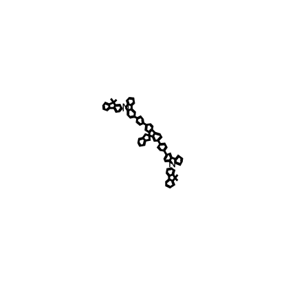 CC1(C)c2ccccc2-c2ccc(-n3c4ccccc4c4cc(-c5ccc(-c6ccc7c(c6)C6(Cc8ccccc8C6)c6cc(-c8ccc(-c9ccc%10c(c9)c9ccccc9n%10-c9ccc%10c(c9)C(C)(C)c9ccccc9-%10)cc8)ccc6-7)cc5)ccc43)cc21